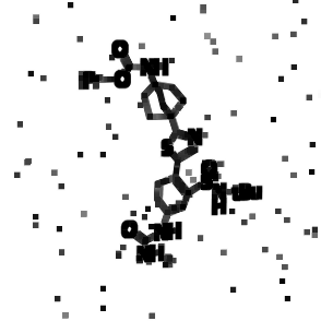 CC(C)OC(=O)NC12CCC(c3ncc(-c4ccc(NC(N)=O)cc4[S+]([O-])NC(C)(C)C)s3)(CC1)CC2